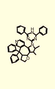 CC1C2=C(c3ccncc3C(c3ccccc3)(c3ccccc3)C3CCOC23)N(C2=NC(c3ccccc3)NC(c3ccccc3)=N2)C1C